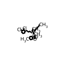 CCCCCCC[N+](CC)(CC)CC=CCc1cccc(Cl)c1Cl.Cc1ccc(S(=O)(=O)[O-])cc1